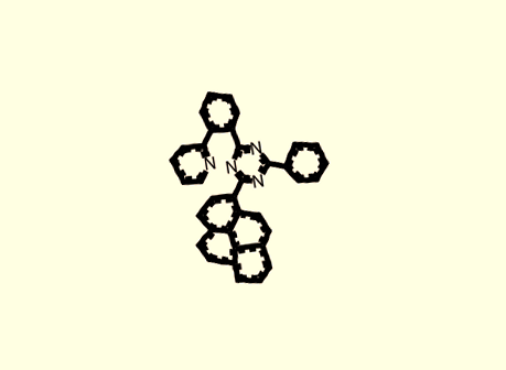 c1ccc(-c2nc(-c3ccccc3-c3ccccn3)nc(-c3ccc4ccc5cccc6ccc3c4c56)n2)cc1